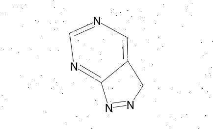 c1ncc2c(n1)N=NC2